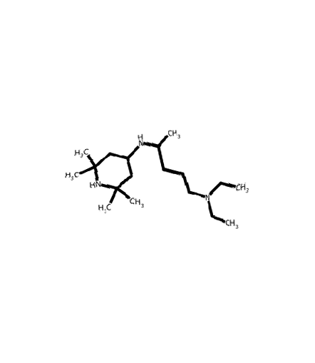 CCN(CC)CCCC(C)NC1CC(C)(C)NC(C)(C)C1